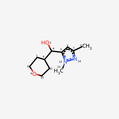 Cc1cc(C(O)C2CCOCC2)n(C)n1